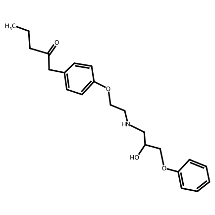 CCCC(=O)Cc1ccc(OCCNCC(O)COc2ccccc2)cc1